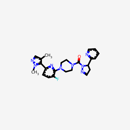 Cc1cnn(C)c1-c1ccc(F)c(N2CCN(C(=O)N3N=CCC3c3ccccn3)CC2)n1